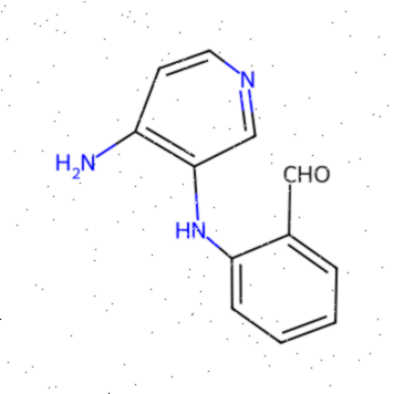 Nc1ccncc1Nc1ccccc1C=O